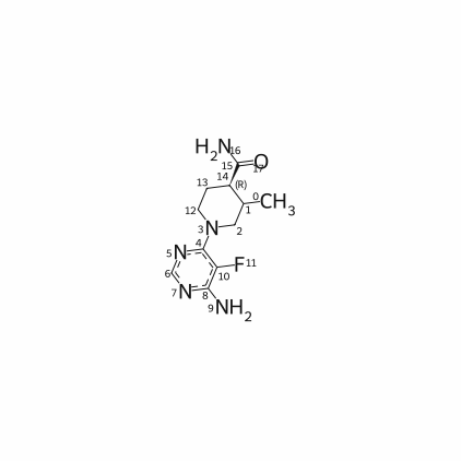 CC1CN(c2ncnc(N)c2F)CC[C@H]1C(N)=O